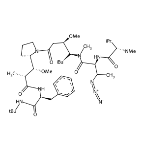 CC[C@H](C)[C@@H]([C@@H](CC(=O)N1CCC[C@H]1[C@H](OC)[C@@H](C)C(=O)N[C@@H](Cc1ccccc1)C(=O)NC(C)(C)C)OC)N(C)C(=O)[C@@H](NC(=O)[C@@H](NC)C(C)C)C(C)N=[N+]=[N-]